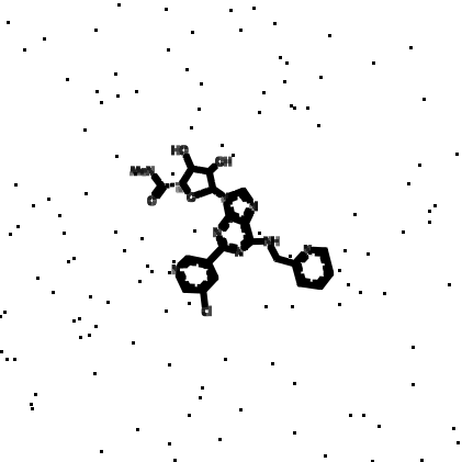 CNC(=O)[C@H]1OC(n2cnc3c(NCc4ccccn4)nc(-c4cncc(Cl)c4)nc32)C(O)C1O